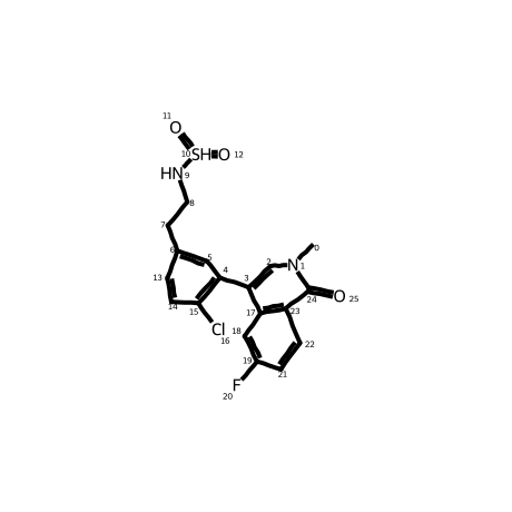 Cn1cc(-c2cc(CCN[SH](=O)=O)ccc2Cl)c2cc(F)ccc2c1=O